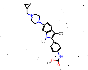 CCn1c(-c2ccc(NC(=O)OC(C)C)cc2)c(C#N)c2ccc(N3CCN(CC4CC4)CC3)cc21